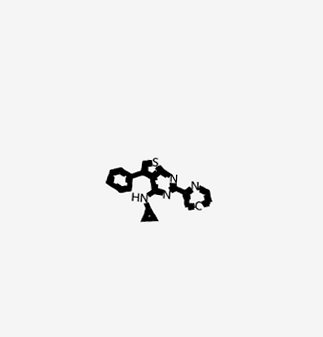 c1ccc(-c2csc3nc(-c4ccccn4)nc(NC4CC4)c23)cc1